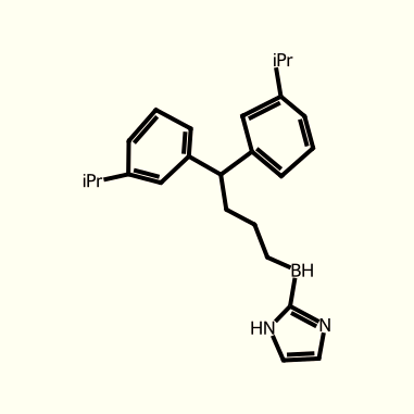 CC(C)c1cccc(C(CCCBc2ncc[nH]2)c2cccc(C(C)C)c2)c1